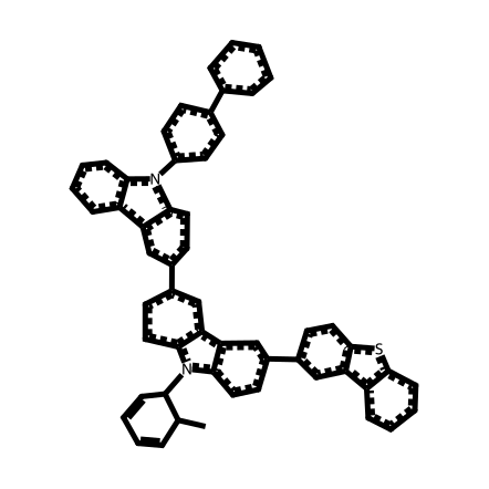 CC1C=CC=CC1n1c2ccc(-c3ccc4sc5ccccc5c4c3)cc2c2cc(-c3ccc4c(c3)c3ccccc3n4-c3ccc(-c4ccccc4)cc3)ccc21